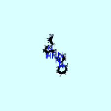 c1cc(N2CCCCCC2)nc(NCC2CCCN2CC2CC2)n1